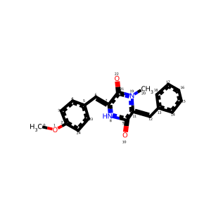 COc1ccc(/C=c2\[nH]c(=O)/c(=C/c3ccccc3)n(C)c2=O)cc1